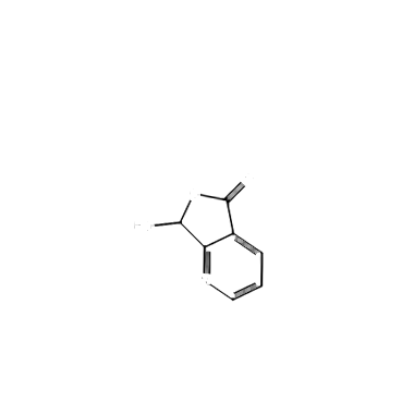 O=C1OC(O)c2ncccc21